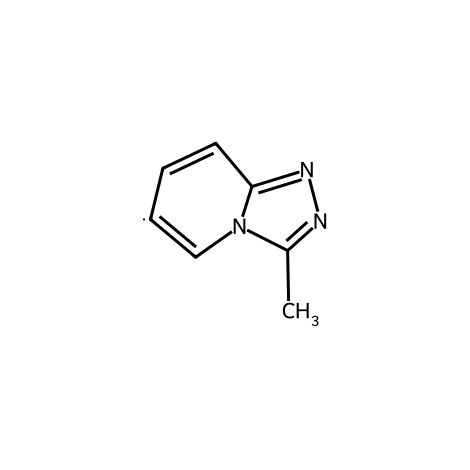 Cc1nnc2cc[c]cn12